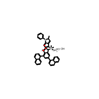 CC1=Cc2c(-c3cccc4ccccc34)cc(-c3cccc4ccccc34)cc2[CH]1[Zr]([CH3])([CH3])(=[SiH2])[C]1=C(C(C)C)C=C2C1=CC(C)N2c1ccccc1.Cl.Cl